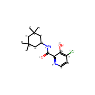 CC1(C)CC(NC(=O)c2nccc(Cl)c2O)CC(C)(C)C1